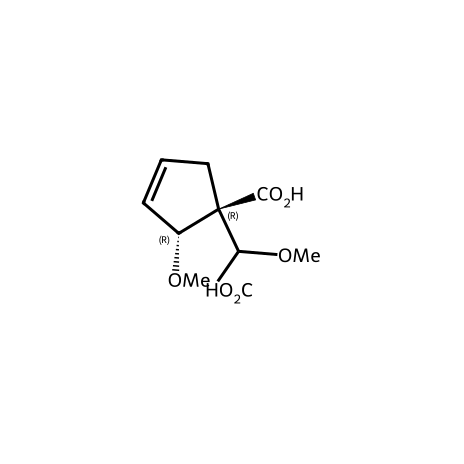 COC(C(=O)O)[C@@]1(C(=O)O)CC=C[C@H]1OC